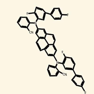 N#Cc1ccccc1N(c1cc2ccc3cc(N(c4cc(-c5ccc(F)cc5)ccc4F)c4ccccc4C#N)cc4ccc(c1)c2c34)c1cc(-c2ccc(F)cc2)ccc1F